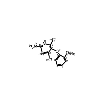 COc1ccccc1Oc1c(Cl)nc(N)nc1Cl